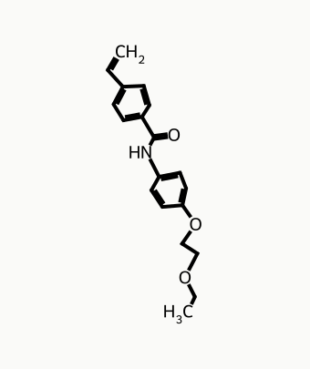 C=Cc1ccc(C(=O)Nc2ccc(OCCOCC)cc2)cc1